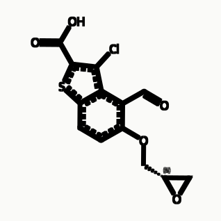 O=Cc1c(OC[C@@H]2CO2)ccc2sc(C(=O)O)c(Cl)c12